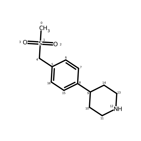 CS(=O)(=O)Cc1ccc(C2CCNCC2)cc1